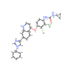 O=C(Nc1ccc(Oc2ccnc3cc(-c4cn(-c5ccccc5)cn4)ccc23)c(F)c1Cl)NC1CC1